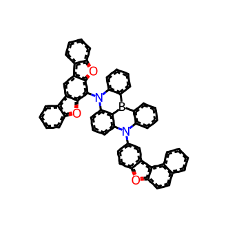 c1ccc2c(c1)B1c3ccccc3N(c3c4oc5ccccc5c4cc4c3oc3ccccc34)c3cccc(c31)N2c1ccc2oc3ccc4ccccc4c3c2c1